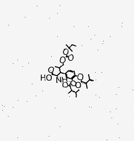 CCC(C)(C)OC(=O)OCC(C)C(c1ccc(OC(=O)C(C)C(C)C)c(OC(=O)C(C)C(C)C)c1)[C@H](N)C(=O)O